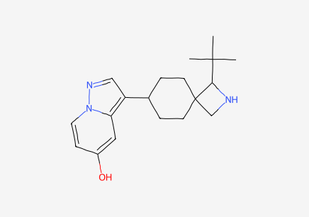 CC(C)(C)C1NCC12CCC(c1cnn3ccc(O)cc13)CC2